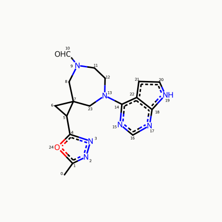 Cc1nnc(C2CC23CN(C=O)CCN(c2ncnc4[nH]ccc24)C3)o1